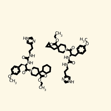 CCOC(=O)C1(C2CCCCC2)CCN(C(=O)[C@@H](Cc2ccc(OC)cc2)NC(=O)NCCc2c[nH]cn2)CC1.CCOC(=O)C1(CC2CC2)CCN(C(=O)C(Cc2ccc(OC)cc2)NC(=O)NCCc2c[nH]cn2)CC1